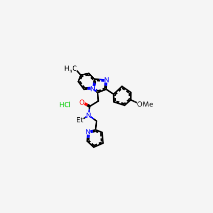 CCN(Cc1ccccn1)C(=O)Cc1c(-c2ccc(OC)cc2)nc2cc(C)ccn12.Cl